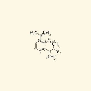 [CH2]C(CF)c1cccc(C(C)C)c1C=C